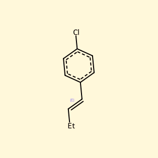 CC/C=C/c1ccc(Cl)cc1